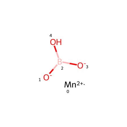 [Mn+2].[O-]B([O-])O